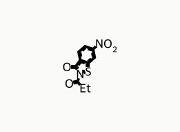 CCC(=O)n1sc2cc([N+](=O)[O-])ccc2c1=O